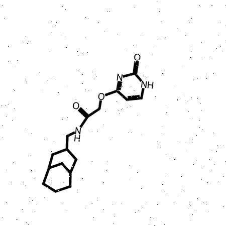 O=C(COc1cc[nH]c(=O)n1)NCC1CC2CCCC(C2)C1